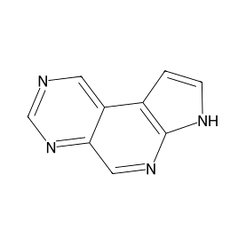 c1ncc2c(cnc3[nH]ccc32)n1